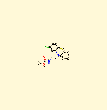 COC(=O)NCCN1c2ccccc2Sc2ccc(Cl)cc21